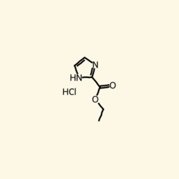 CCOC(=O)c1ncc[nH]1.Cl